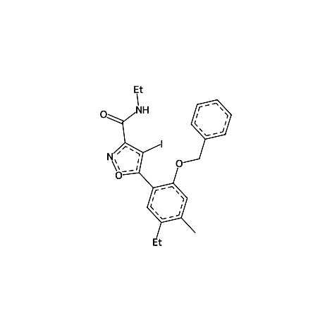 CCNC(=O)c1noc(-c2cc(CC)c(C)cc2OCc2ccccc2)c1I